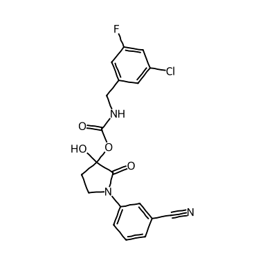 N#Cc1cccc(N2CCC(O)(OC(=O)NCc3cc(F)cc(Cl)c3)C2=O)c1